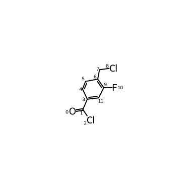 O=C(Cl)c1ccc(CCl)c(F)c1